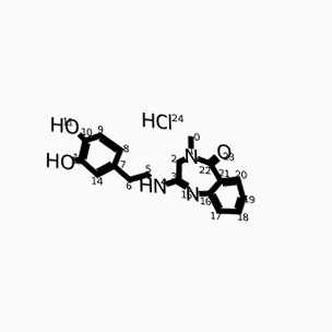 CN1CC(NCCc2ccc(O)c(O)c2)=Nc2ccccc2C1=O.Cl